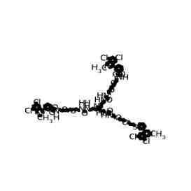 CN1Cc2c(Cl)cc(Cl)cc2[C@H](c2cccc(SCCCOCCOCCNC(=O)NCCC(N)(CCCNC(=O)NCCOCCOCCNS(=O)(=O)c3cccc([C@@H]4CN(C)Cc5c(Cl)cc(Cl)cc54)c3)CCCNC(=O)NCCOCCOCCNS(=O)(=O)c3cccc([C@@H]4CN(C)Cc5c(Cl)cc(Cl)cc54)c3)c2)C1